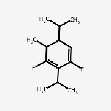 CC(C)C1=C(F)C(C)C(C(C)C)C=C1F